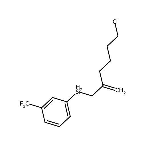 C=C(CCCCCl)C[SiH2]c1cccc(C(F)(F)F)c1